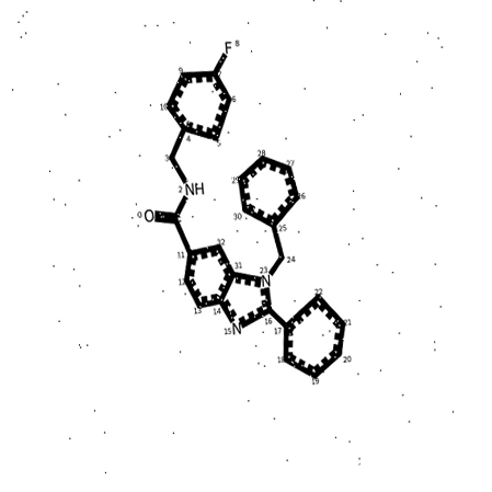 O=C(NCc1ccc(F)cc1)c1ccc2nc(-c3ccccc3)n(Cc3ccccc3)c2c1